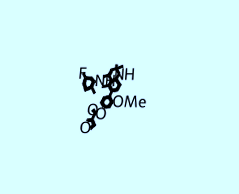 COc1cc(OC(=O)c2ccoc2)ccc1-c1ccc2c(c1CNc1cc(F)ccc1C)C(C)=CC(C)(C)N2